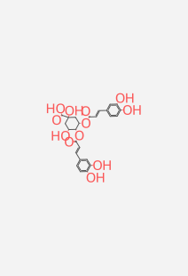 O=C(/C=C/c1ccc(O)c(O)c1)O[C@@H]1[C@@H](OC(=O)/C=C/c2ccc(O)c(O)c2)C[C@@](O)(C(=O)O)C[C@@H]1O